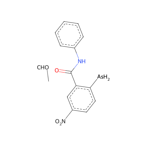 CC=O.O=C(Nc1ccccc1)c1cc([N+](=O)[O-])ccc1[AsH2]